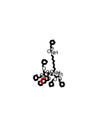 CC[C@@H](OCc1ccccc1)[C@@H](OCc1ccccc1)[C@H](COC1OC(COCc2ccccc2)C(OCc2ccccc2)C(OCc2ccccc2)C1OCc1ccccc1)NC(=O)CCCCCCCCNC(=O)OCc1ccccc1